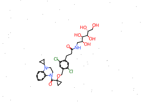 O=C(CCc1cc(Cl)c(COC2(C(=O)N3CCN(C4CC4)c4ccccc43)CC2)cc1Cl)NC[C@H](O)[C@@H](O)[C@H](O)[C@H](O)CO